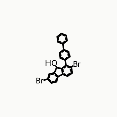 OC1c2cc(Br)ccc2-c2ccc(Br)c(-c3ccc(-c4ccccc4)cc3)c21